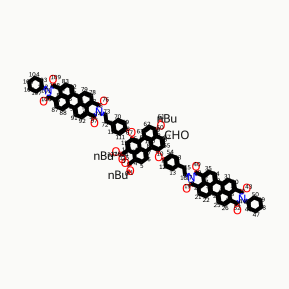 CCCCOC(=O)c1ccc2c3c(Oc4ccc(CCN5C(=O)c6ccc7c8ccc9c%10c(ccc(c%11ccc(c6c7%11)C5=O)c%108)C(=O)N(C5CCCCC5)C9=O)cc4)cc(C=O)c4c(OCCCC)ccc(c5c(Oc6ccc(CCN7C(=O)c8ccc9c%10ccc%11c%12c(ccc(c%13ccc(c8c9%13)C7=O)c%12%10)C(=O)N(C7CCCCC7)C%11=O)cc6)cc(C(=O)OCCCC)c1c25)c43